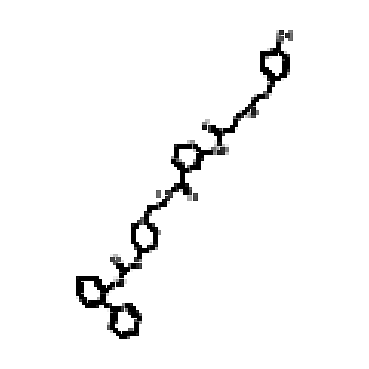 O=C(CCNCCc1ccc(O)cc1)Nc1cccc(C(=O)NCCN2CCC(OC(=O)Nc3ccccc3-c3ccccc3)CC2)c1